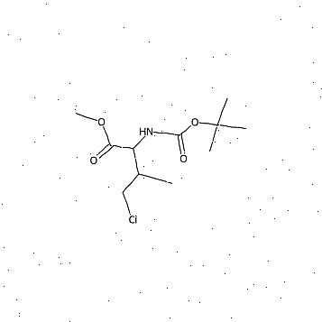 COC(=O)C(NC(=O)OC(C)(C)C)C(C)CCl